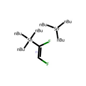 CCC[CH2][Sn]([CH2]CCC)([CH2]CCC)/[C](F)=C/F.CCC[CH2][Sn]([CH2]CCC)[CH2]CCC